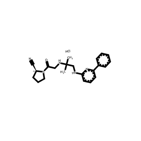 CC(C)(CNc1cccc(-c2ccccc2)n1)NCC(=O)N1CCC[C@H]1C#N.Cl